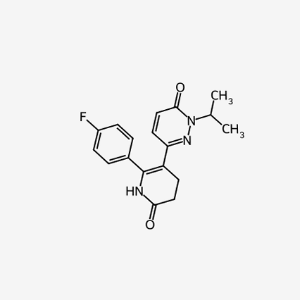 CC(C)n1nc(C2=C(c3ccc(F)cc3)NC(=O)CC2)ccc1=O